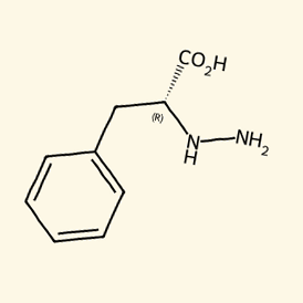 NN[C@H](Cc1ccccc1)C(=O)O